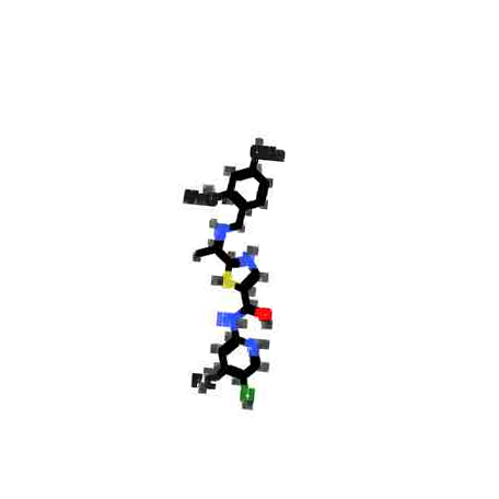 COc1ccc(CN=C(C)c2ncc(C(=O)Nc3cc(C(F)(F)F)c(Cl)cn3)s2)c(OC)c1